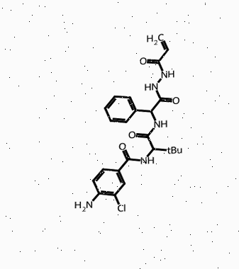 C=CC(=O)NNC(=O)C(NC(=O)C(NC(=O)c1ccc(N)c(Cl)c1)C(C)(C)C)c1ccccc1